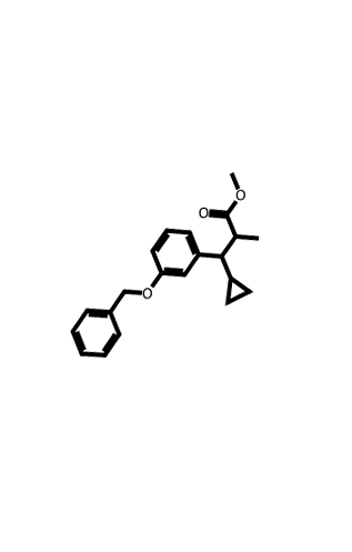 COC(=O)C(C)C(c1cccc(OCc2ccccc2)c1)C1CC1